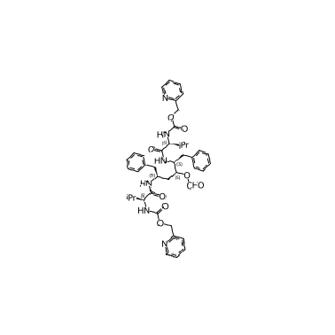 CC(C)[C@H](NC(=O)OCc1ccccn1)C(=O)N[C@@H](Cc1ccccc1)C[C@H](OC=O)[C@H](Cc1ccccc1)NC(=O)[C@@H](NC(=O)OCc1ccccn1)C(C)C